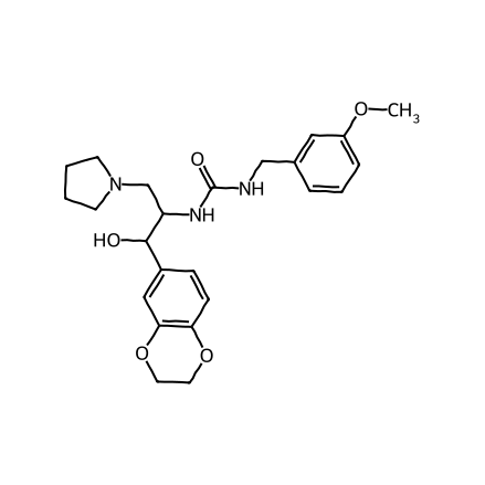 COc1cccc(CNC(=O)NC(CN2CCCC2)C(O)c2ccc3c(c2)OCCO3)c1